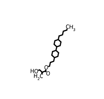 C=C(CO)C(=O)OCCCC1CCC(C2CCC(CCCCC)CC2)CC1